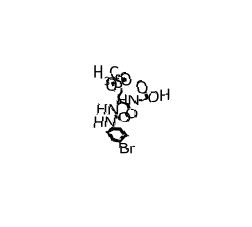 CS(=O)(=O)CCC(NC(=O)Nc1ccc(Br)cc1)C(=O)NCC(=O)O